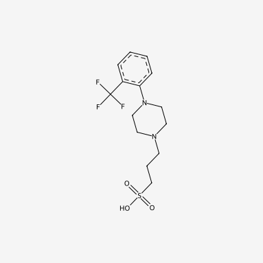 O=S(=O)(O)CCCN1CCN(c2ccccc2C(F)(F)F)CC1